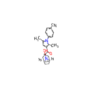 Cc1cc(C(=O)CN2[C@@H]3CC[C@H]2C[C@@H](O)C3)c(C)n1-c1ccc(C#N)cc1